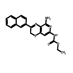 CCOC(=O)Nc1cc2c(c(N)n1)N=C(c1ccc3ccccc3c1)CS2